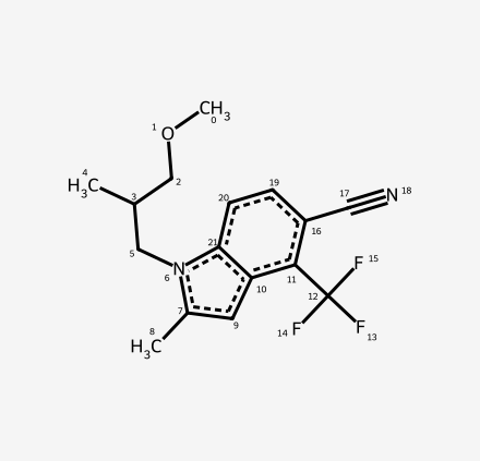 COCC(C)Cn1c(C)cc2c(C(F)(F)F)c(C#N)ccc21